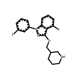 Fc1cccc(-n2nc(OCC3CCCNC3)c3c(F)cccc32)c1